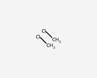 CCl.CCl